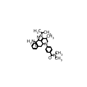 CC1CN(c2ccc(C(=O)N(C)C)cc2)C(Cc2ccccc2)c2c(C(N)=O)nn(C(C)C)c21